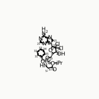 CC(C)OC(=O)[C@H](C)N[P@@](=S)(OC[C@H]1O[C@@H](n2cnc3c(N)ncnc32)C(Cl)(Cl)[C@@H]1O)Oc1ccccc1